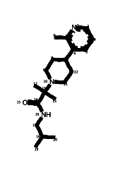 Cc1ncccc1C1CCN(C(C)(C)C(=O)NCC(C)C)CC1